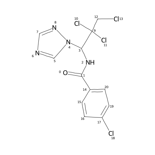 O=C(NC(n1cncn1)C(Cl)(Cl)CCl)c1ccc(Cl)cc1